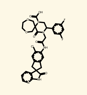 O=C(CN1C(=O)C2(COCCOC2)N(C(=O)O)CC1c1cc(F)cc(F)c1)Nc1cc2c(cc1Cl)CC1(C2)C(=O)Nc2ncccc21